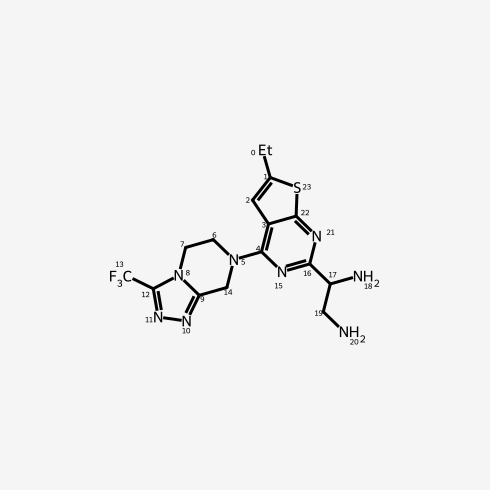 CCc1cc2c(N3CCn4c(nnc4C(F)(F)F)C3)nc(C(N)CN)nc2s1